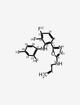 C=CCNc1nnc(-c2ccc(F)c(F)c2Nc2ccc(I)cc2F)o1